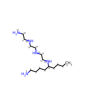 CCCCC(CCCCN)NCCNCCNCCN